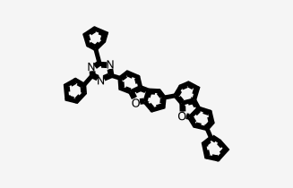 c1ccc(-c2ccc3c(c2)oc2c(-c4ccc5oc6cc(-c7nc(-c8ccccc8)nc(-c8ccccc8)n7)ccc6c5c4)cccc23)cc1